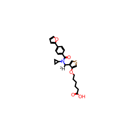 [2H]C(c1cscc1OCCCCCC(=O)O)N(C(=O)c1ccc(-c2ccco2)cc1)C1CC1